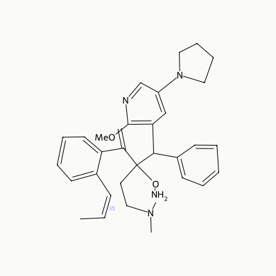 C=C(c1ccccc1/C=C\C)C(CCN(C)C)(ON)C(c1ccccc1)c1cc(N2CCCC2)cnc1OC